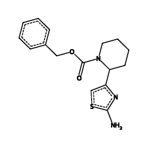 Nc1nc(C2CCCCN2C(=O)OCc2ccccc2)cs1